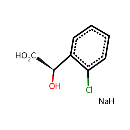 O=C(O)[C@H](O)c1ccccc1Cl.[NaH]